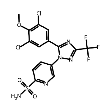 COc1c(Cl)cc(-c2nc(C(F)(F)F)nn2-c2ccc(S(N)(=O)=O)nc2)cc1Cl